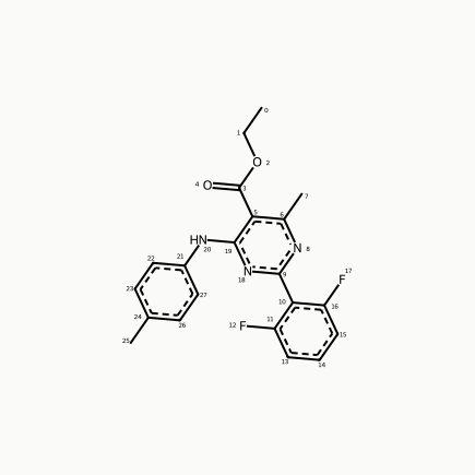 CCOC(=O)c1c(C)nc(-c2c(F)cccc2F)nc1Nc1ccc(C)cc1